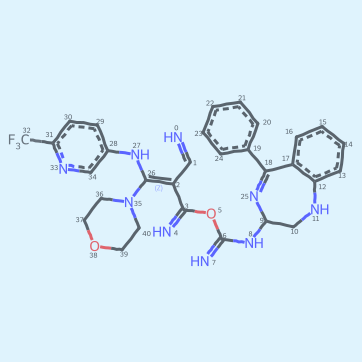 N=C/C(C(=N)OC(=N)NC1CNc2ccccc2C(c2ccccc2)=N1)=C(\Nc1ccc(C(F)(F)F)nc1)N1CCOCC1